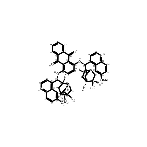 CC[C@H]1CN2CC[C@H]1C[C@@H]2[C@@H](Oc1ccc(O[C@@H](c2ccnc3ccc(OC)cc23)[C@H]2C[C@@H]3CCN2C[C@@H]3CC)c2c1C(=O)c1ccccc1C2=O)c1ccnc2ccc(OC)cc12